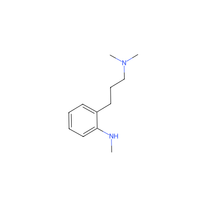 CNc1ccccc1CCCN(C)C